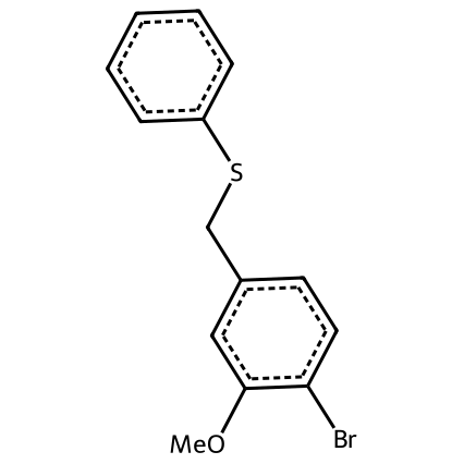 COc1cc(CSc2ccccc2)ccc1Br